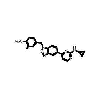 COc1ccc(Cn2nnc3cc(-c4ccnc(NC5CC5)n4)ccc32)cc1F